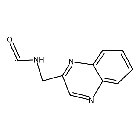 O=[C]NCc1cnc2ccccc2n1